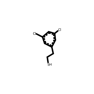 SCCc1cc(Cl)cc(Cl)c1